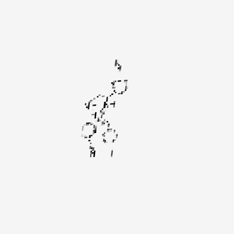 C[C@H](NC(CC#N)c1cccc(C#N)c1)[C@@H](Cc1ccc(I)cc1)c1cccc(C#N)c1